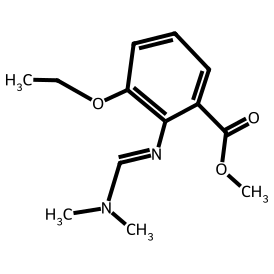 CCOc1cccc(C(=O)OC)c1N=CN(C)C